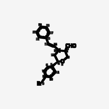 O=CC1CO[C@@H](c2ccc(Br)cc2)CN1C=Cc1ccccc1